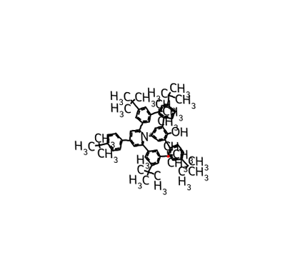 CC(C)(C)c1ccc(-c2cc(-c3cc(C(C)(C)C)cc(C(C)(C)C)c3)[n+](-c3cc(-c4ccc(C(C)(C)C)cc4)c(O)c(-c4ccc(C(C)(C)C)cc4)c3)c(-c3cc(C(C)(C)C)cc(C(C)(C)C)c3)c2)cc1